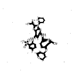 CS(=O)(=O)c1cc(F)ccc1Nc1cc(Nc2ccc(OC3CCOCC3)c(C#N)n2)nc2c1nc(C(F)F)n2C1CCCCO1